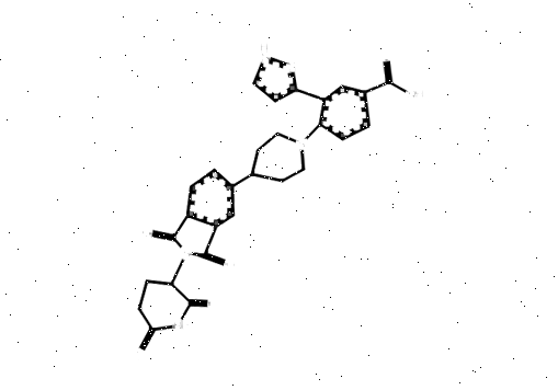 NC(=O)c1ccc(N2CCC(c3ccc4c(c3)C(=O)N(C3CCC(=O)NC3=O)C4=O)CC2)c(-c2cc[nH]n2)c1